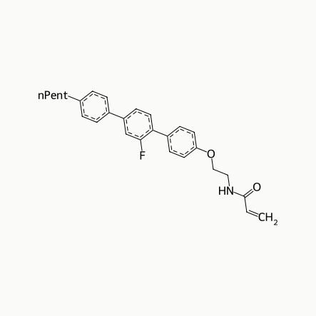 C=CC(=O)NCCOc1ccc(-c2ccc(-c3ccc(CCCCC)cc3)cc2F)cc1